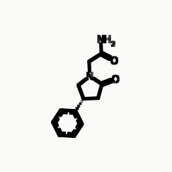 NC(=O)CN1C[C@@H](c2ccccc2)CC1=O